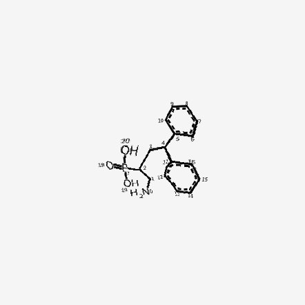 NCC(CC(c1ccccc1)c1ccccc1)P(=O)(O)O